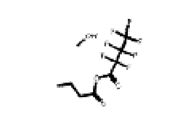 CCCC(=O)OC(=O)C(F)(F)C(F)(F)C(F)(F)F.CO